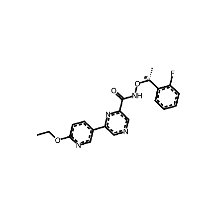 CCOc1ccc(-c2cncc(C(=O)NO[C@H](C)c3ccccc3F)n2)cn1